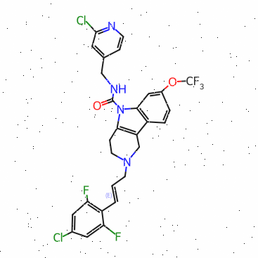 O=C(NCc1ccnc(Cl)c1)n1c2c(c3ccc(OC(F)(F)F)cc31)CN(C/C=C/c1c(F)cc(Cl)cc1F)CC2